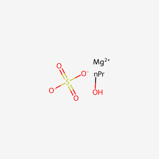 CCCO.O=S(=O)([O-])[O-].[Mg+2]